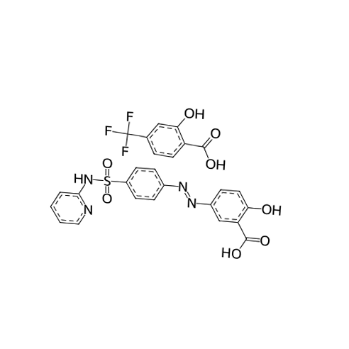 O=C(O)c1cc(N=Nc2ccc(S(=O)(=O)Nc3ccccn3)cc2)ccc1O.O=C(O)c1ccc(C(F)(F)F)cc1O